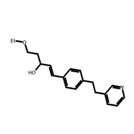 CCOCCC(O)C=Cc1ccc(CCc2cccnc2)cc1